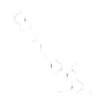 COC(=O)C(=Cc1ccc(OC)cc1OC)c1ccc(OCC(O)CNCCOc2ccccc2OC)cc1